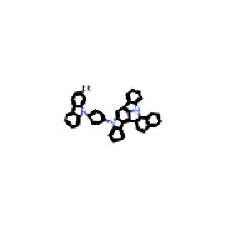 CCc1ccc2c3ccccc3n(-c3ccc(-n4c5ccccc5c5c6c7ccc8ccccc8c7n7c8ccccc8c(cc54)c67)cc3)c2c1